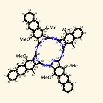 COc1c2c(c(OC)c3cc4ccccc4cc13)-c1nc-2nc2[nH]c(nc3nc(nc4[nH]c(n1)c1c(C)c5cc6ccccc6cc5c(OC)c41)-c1c-3c(OC)c3cc4ccccc4cc3c1OC)c1c(OC)c3ccccc3c(C)c21